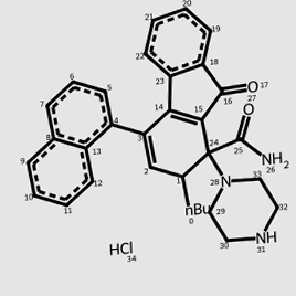 CCCCC1C=C(c2cccc3ccccc23)C2=C(C(=O)c3ccccc32)C1(C(N)=O)N1CCNCC1.Cl